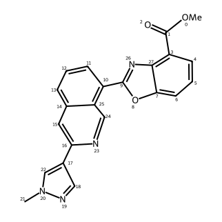 COC(=O)c1cccc2oc(-c3cccc4cc(-c5cnn(C)c5)ncc34)nc12